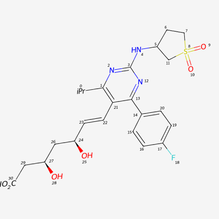 CC(C)c1nc(NC2CCS(=O)(=O)C2)nc(-c2ccc(F)cc2)c1/C=C/[C@@H](O)C[C@@H](O)CC(=O)O